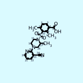 Cc1ccc(C(=O)O)c(C)c1S(=O)(=O)N1CCN(c2ncccc2C#N)CC1C